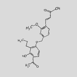 CCCc1c(OCc2ccc(C=CC(=O)O)c(OC)c2)ccc(C(C)=O)c1O